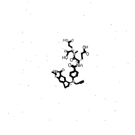 C#CCN(c1ccc(C(=O)N[C@@H](CCC(=O)O)C(=O)N(C)[C@@H](CCC(=O)O)C(=O)O)cc1)[C@H]1CCc2cc3nc(C)[nH]c(=O)c3cc21